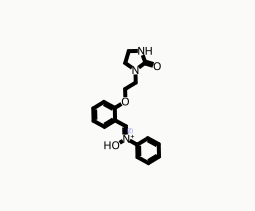 O=C1NCCN1CCOc1ccccc1/C=[N+](\O)c1ccccc1